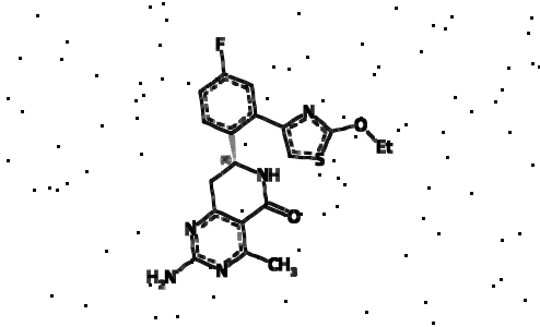 CCOc1nc(-c2cc(F)ccc2[C@H]2Cc3nc(N)nc(C)c3C(=O)N2)cs1